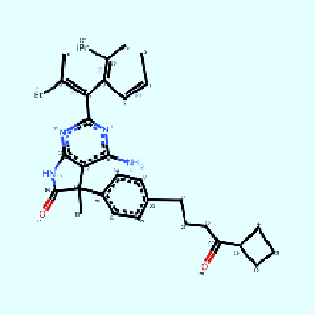 C\C=C/C(C(=C(\C)CC)/c1nc(N)c2c(n1)NC(=O)C2(C)c1ccc(CCCC(=O)C2CCC2)cc1)=C(\C)C(C)C